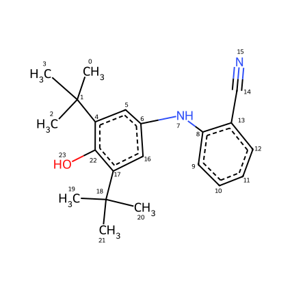 CC(C)(C)c1cc(Nc2ccccc2C#N)cc(C(C)(C)C)c1O